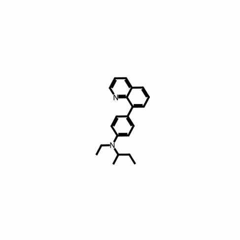 CCC(C)N(CC)c1ccc(-c2cccc3cccnc23)cc1